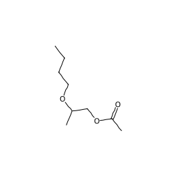 CCCCOC(C)COC(C)=O